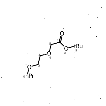 CCCOCCOCC(=O)OC(C)(C)C